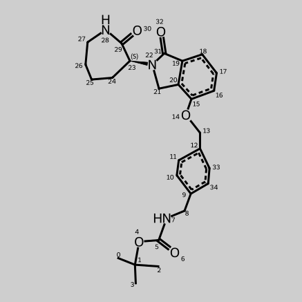 CC(C)(C)OC(=O)NCc1ccc(COc2cccc3c2CN([C@H]2CCCCNC2=O)C3=O)cc1